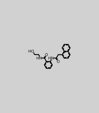 O=C(Cc1cccc2ccccc12)Nc1ccccc1C(=O)NCCO